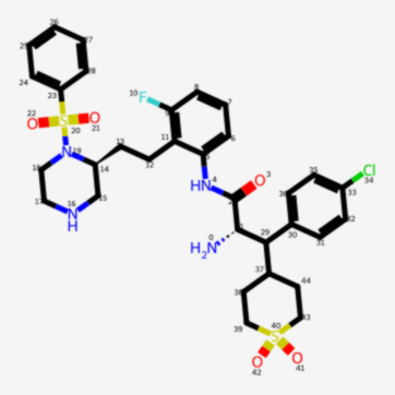 N[C@H](C(=O)Nc1cccc(F)c1CC[C@H]1CNCCN1S(=O)(=O)c1ccccc1)C(c1ccc(Cl)cc1)C1CCS(=O)(=O)CC1